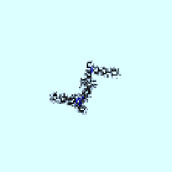 c1ccc(-c2ccc(-c3ccc(N(c4ccccc4)c4ccc(-c5ccccc5-c5ccccc5-c5ccc(N(c6ccccc6)c6ccc(-c7ccc(-c8ccccc8)cc7)cc6)cc5)cc4)cc3)cc2)cc1